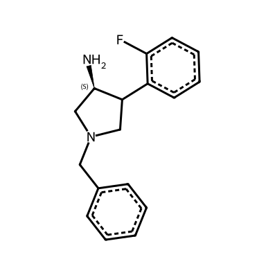 N[C@@H]1CN(Cc2ccccc2)CC1c1ccccc1F